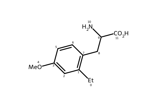 CCc1cc(OC)ccc1CC(N)C(=O)O